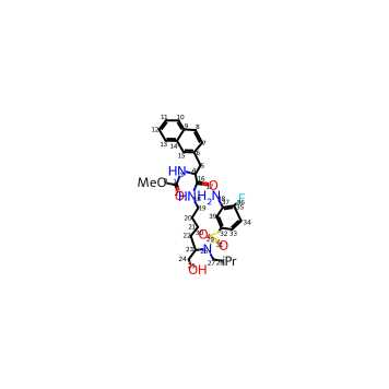 COC(=O)NC(Cc1ccc2ccccc2c1)C(=O)NCCCCC(CO)N(CC(C)C)S(=O)(=O)c1ccc(F)c(N)c1